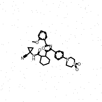 COc1ccccc1-c1nc(-c2ccc(N3CCS(=O)(=O)CC3)cc2)c(C2CCCCC2C(=O)NC2(C#N)CC2)o1